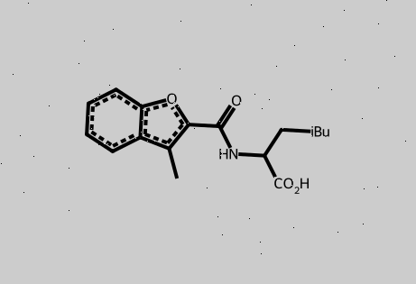 CCC(C)CC(NC(=O)c1oc2ccccc2c1C)C(=O)O